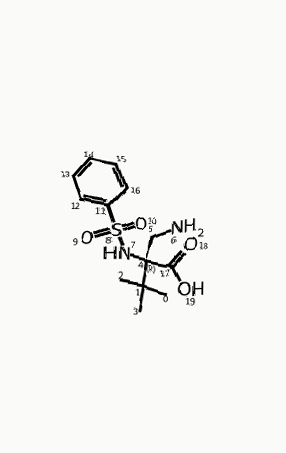 CC(C)(C)[C@](CN)(NS(=O)(=O)c1ccccc1)C(=O)O